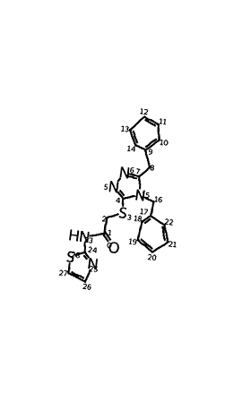 O=C(CSc1nnc(Cc2ccccc2)n1Cc1ccccc1)Nc1nccs1